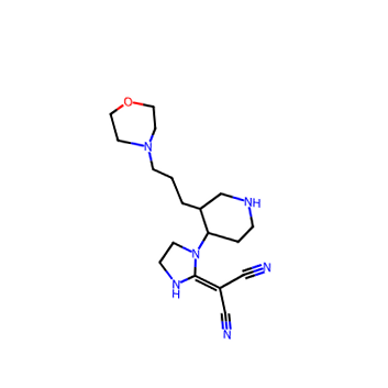 N#CC(C#N)=C1NCCN1C1CCNCC1CCCN1CCOCC1